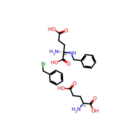 BrCc1ccccc1.N[C@@H](CCC(=O)O)C(=O)O.N[C@](CCC(=O)O)(NCc1ccccc1)C(=O)O